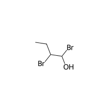 CCC(Br)C(O)Br